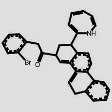 O=C(Cc1ccccc1Br)C1C=c2c(ccc3c2=CCc2ccccc2-3)C(C2=CC=CC=CN2)C1